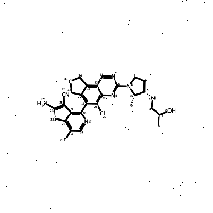 C[C@H](O)CN[C@H]1CCN(c2ncc3c4c(c(-c5ncc(F)c6sc(N)c(C#N)c56)c(Cl)c3n2)COC4)[C@H]1C